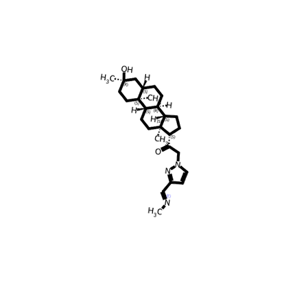 C/N=C/c1ccn(CC(=O)[C@H]2CC[C@H]3[C@@H]4CC[C@H]5C[C@](C)(O)CC[C@]5(C)[C@H]4CC[C@]23C)n1